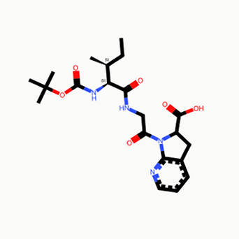 CC[C@H](C)[C@H](NC(=O)OC(C)(C)C)C(=O)NCC(=O)N1c2ncccc2CC1C(=O)O